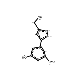 COc1cc(C#N)cc(-c2cc(CO)no2)c1